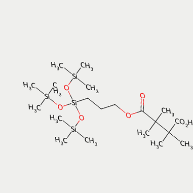 CC(C)(C(=O)O)C(C)(C)C(=O)OCCC[Si](O[Si](C)(C)C)(O[Si](C)(C)C)O[Si](C)(C)C